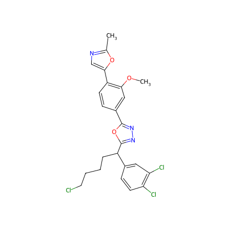 COc1cc(-c2nnc(C(CCCCCl)c3ccc(Cl)c(Cl)c3)o2)ccc1-c1cnc(C)o1